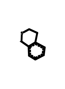 [CH]1SCCc2ccccc21